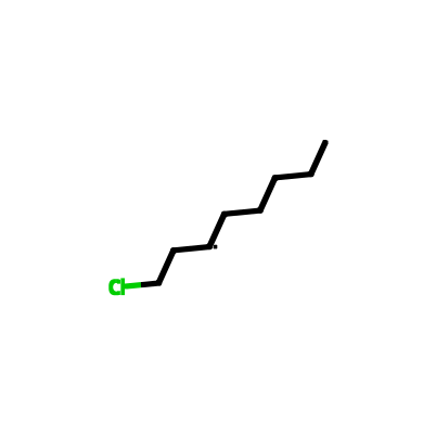 CCCCC[CH]CCCl